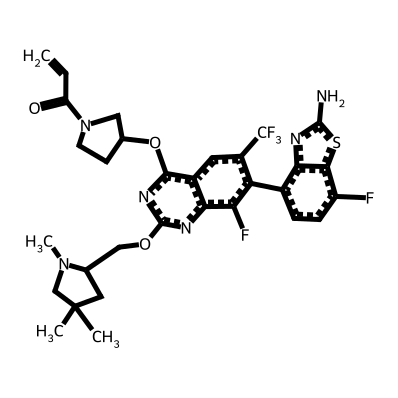 C=CC(=O)N1CCC(Oc2nc(OCC3CC(C)(C)CN3C)nc3c(F)c(-c4ccc(F)c5sc(N)nc45)c(C(F)(F)F)cc23)C1